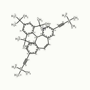 CC(C)(C)c1cc(C(C)(C)C)c(B2c3ccc(C#C[Si](C)(C)C)cc3C=Cc3cc(C#C[Si](C)(C)C)ccc32)c(C(C)(C)C)c1